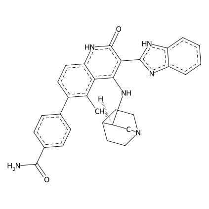 Cc1c(-c2ccc(C(N)=O)cc2)ccc2[nH]c(=O)c(-c3nc4ccccc4[nH]3)c(N[C@H]3CN4CCC3CC4)c12